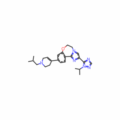 C[C](C)CN1CC=C(c2ccc3c(c2)OCCn2cc(-c4ncnn4C(C)C)nc2-3)CC1